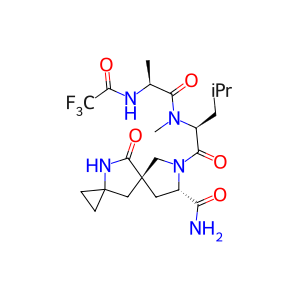 CC(C)C[C@@H](C(=O)N1C[C@@]2(C[C@H]1C(N)=O)CC1(CC1)NC2=O)N(C)C(=O)[C@H](C)NC(=O)C(F)(F)F